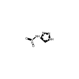 N[SH](=O)=O.c1c[nH]nn1